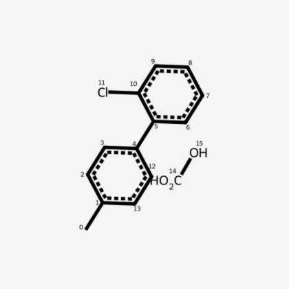 Cc1ccc(-c2ccccc2Cl)cc1.O=C(O)O